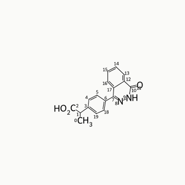 CC(C(=O)O)c1ccc(-c2n[nH]c(=O)c3ccccc23)cc1